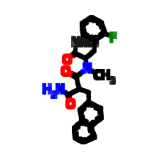 CNC(=O)C(Cc1ccccc1F)N(C)C(=O)C(Cc1ccc2ccccc2c1)C(N)=O